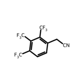 N#CCc1ccc(C(F)(F)F)c(C(F)(F)F)c1C(F)(F)F